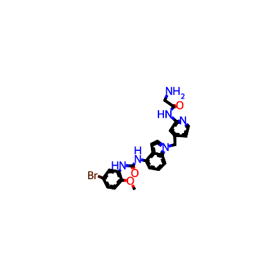 COc1ccc(Br)cc1NC(=O)Nc1cccc2c1ccn2Cc1ccnc(NC(=O)CN)c1